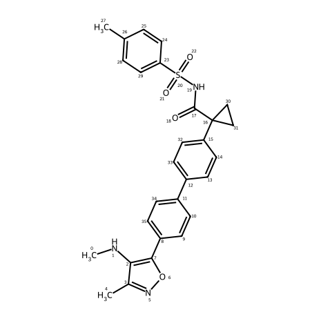 CNc1c(C)noc1-c1ccc(-c2ccc(C3(C(=O)NS(=O)(=O)c4ccc(C)cc4)CC3)cc2)cc1